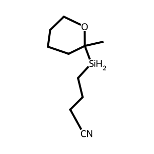 CC1([SiH2]CCCC#N)CCCCO1